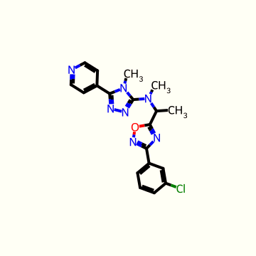 CC(c1nc(-c2cccc(Cl)c2)no1)N(C)c1nnc(-c2ccncc2)n1C